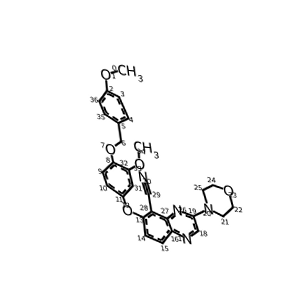 COc1ccc(COc2ccc(Oc3ccc4ncc(N5CCOCC5)nc4c3C#N)cc2OC)cc1